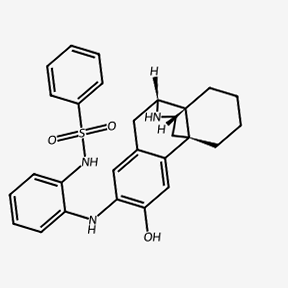 O=S(=O)(Nc1ccccc1Nc1cc2c(cc1O)[C@@]13CCCC[C@H]1[C@@H](C2)NCC3)c1ccccc1